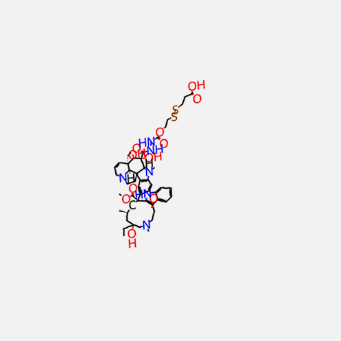 CC[C@]1(O)C[C@@H](C)C[C@](C(=O)OC)(c2cc3c(cc2OC)N(C)[C@H]2[C@@](O)(C(=O)NNC(=O)OCCSSCCC(=O)O)[C@H](O)[C@]4(CC)C=CCN5CC[C@]32[C@@H]54)c2[nH]c3ccccc3c2CCN(C)C1